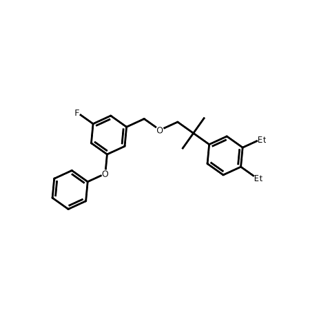 CCc1ccc(C(C)(C)COCc2cc(F)cc(Oc3ccccc3)c2)cc1CC